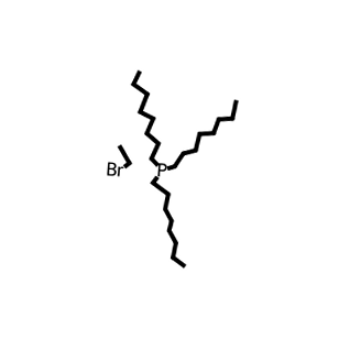 CCBr.CCCCCCCCP(CCCCCCCC)CCCCCCCC